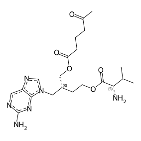 CC(=O)CCCC(=O)OC[C@H](CCOC(=O)[C@@H](N)C(C)C)Cn1cnc2cnc(N)nc21